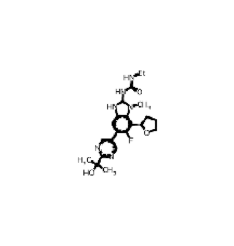 CCNC(=O)NC1Nc2cc(-c3cnc(C(C)(C)O)nc3)c(F)c([C@H]3CCCO3)c2N1C